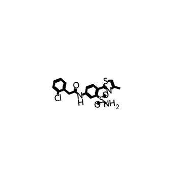 Cc1csc(-c2ccc(NC(=O)Cc3ccccc3Cl)cc2S(N)(=O)=O)n1